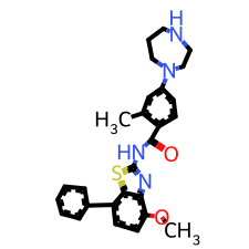 COc1ccc(-c2ccccc2)c2sc(NC(=O)c3ccc(N4CCCNCC4)cc3C)nc12